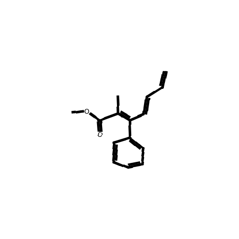 C=CC=CC(=C(C)C(=O)OC)c1ccccc1